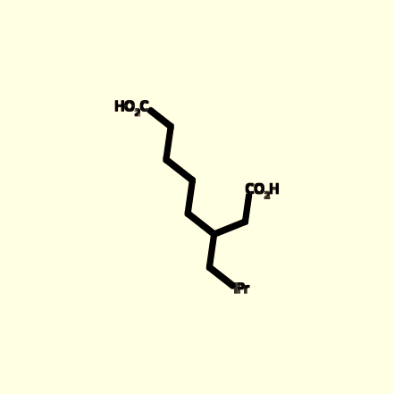 CC(C)CC(CCCCC(=O)O)CC(=O)O